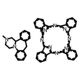 CN1CCN2c3ccccc3Cc3ccccc3C2C1.c1ccc2c(c1)-c1nc-2nc2[nH]c(nc3nc(nc4[nH]c(n1)c1ccccc41)-c1ccccc1-3)c1ccccc21